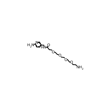 NCCOCCOCCOCCOCCC(=O)NCc1ccc(N)nc1